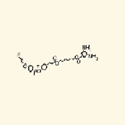 Nc1cc(N)cc(C(=O)OCCCCCCOC(=O)C=Cc2ccc(OC(F)(F)c3ccc(OCCCCF)cc3)cc2)c1